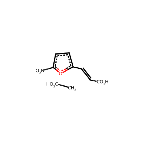 CC(=O)O.O=C(O)C=Cc1ccc([N+](=O)[O-])o1